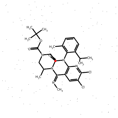 C/N=C(\c1cc(Cl)c(Cl)nc1N(C=O)c1c(C)cccc1C(C)C)N1CCN(C(=O)OC(C)(C)C)CC1C